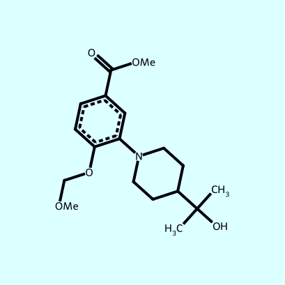 COCOc1ccc(C(=O)OC)cc1N1CCC(C(C)(C)O)CC1